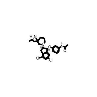 CCCC1(N)CCCN([C@@H]2Cc3c(Cl)cc(Cl)cc3[C@@H]2Oc2cccc(NC(C)=O)c2)C1